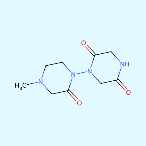 CN1CCN(N2CC(=O)NCC2=O)C(=O)C1